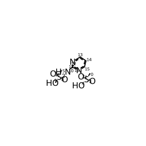 CS(=O)(=O)O.CS(=O)(=O)O.Nc1ncccn1